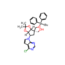 CC1(C)O[C@H]2[C@H](n3ccc4c(Cl)ncnc43)C[C@](CO)(CO[Si](c3ccccc3)(c3ccccc3)C(C)(C)C)[C@H]2O1